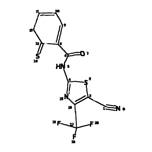 N#Cc1sc(NC(=O)C2=CC=CCC2=S)nc1C(F)(F)F